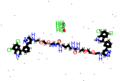 CN1Cc2c(Cl)cc(Cl)cc2[C@H](c2cccc(-c3cc(NCCOCCOCCNC(=O)NCCCCNC(=O)NCCOCCOCCNc4cnnc(-c5cccc([C@@H]6CN(C)Cc7c(Cl)cc(Cl)cc76)c5)c4)cnn3)c2)C1.Cl.Cl.Cl.Cl.Cl